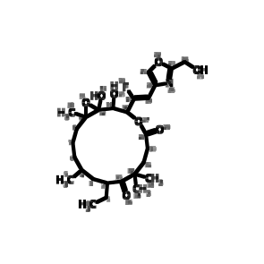 CCC1CC(C)CCCC2(C)OC2(O)C(O)C(C(F)=Cc2coc(CO)n2)OC(=O)CCC(C)(C)C1=O